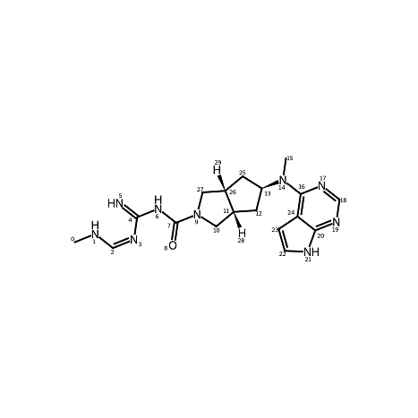 CN/C=N\C(=N)NC(=O)N1C[C@H]2C[C@H](N(C)c3ncnc4[nH]ccc34)C[C@H]2C1